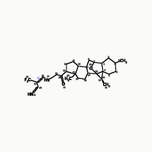 CC1CCC23C(C1)C1CC4C5CCC(C(=O)CN/C=C(\C=N)C(F)(F)F)C5(C)CCC4C2(O1)[C@@H]3C